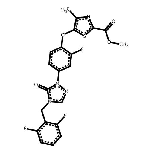 COC(=O)c1nc(C)c(Oc2ccc(-n3ncn(Cc4c(F)cccc4F)c3=O)cc2F)s1